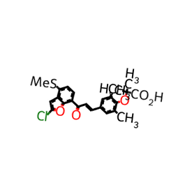 CSc1ccc(C(=O)/C=C/c2cc(C)c(OC(C)(C)C(=O)O)c(C)c2)c2oc(Cl)cc12